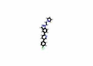 Clc1ccc(C2C=NC(c3ccc4c(cnn4CCN4CCCC4)c3)=CC2)cc1